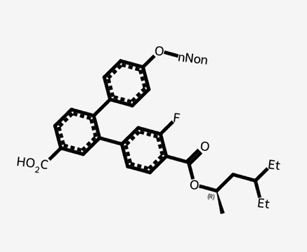 CCCCCCCCCOc1ccc(-c2ccc(C(=O)O)cc2-c2ccc(C(=O)O[C@H](C)CC(CC)CC)c(F)c2)cc1